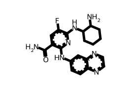 NC(=O)c1cc(F)c(NC2CCCCC2N)nc1Nc1ccc2nccnc2c1